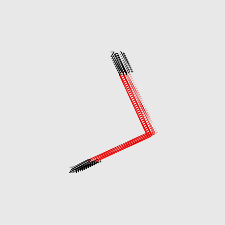 [O-2].[O-2].[O-2].[O-2].[O-2].[O-2].[O-2].[O-2].[O-2].[O-2].[O-2].[O-2].[O-2].[O-2].[O-2].[O-2].[O-2].[O-2].[O-2].[O-2].[O-2].[O-2].[O-2].[O-2].[O-2].[O-2].[O-2].[O-2].[O-2].[O-2].[O-2].[O-2].[O-2].[O-2].[O-2].[O-2].[O-2].[O-2].[O-2].[O-2].[O-2].[O-2].[O-2].[O-2].[O-2].[O-2].[O-2].[O-2].[O-2].[O-2].[O-2].[O-2].[O-2].[O-2].[O-2].[O-2].[O-2].[O-2].[O-2].[O-2].[Zn+2].[Zn+2].[Zn+2].[Zn+2].[Zn+2].[Zn+2].[Zn+2].[Zn+2].[Zn+2].[Zn+2].[Zn+2].[Zn+2].[Zn+2].[Zn+2].[Zn+2].[Zn+2].[Zn+2].[Zn+2].[Zn+2].[Zn+2]